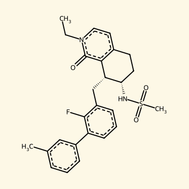 CCn1ccc2c(c1=O)[C@@H](Cc1cccc(-c3cccc(C)c3)c1F)[C@@H](NS(C)(=O)=O)CC2